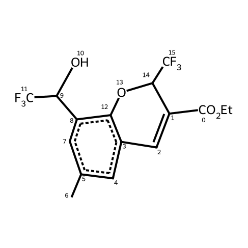 CCOC(=O)C1=Cc2cc(C)cc(C(O)C(F)(F)F)c2OC1C(F)(F)F